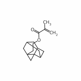 C=C(C)C(=O)OCCC12CC3CC4CC(C3)C41C2